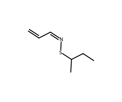 C=C/C=N\SC(C)CC